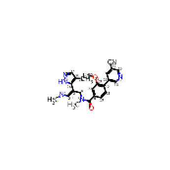 C=N/C=C(/CN(C)C(=O)c1ccc(-c2cncc(C#N)c2)c(OCC)c1)c1[nH]ncc1C